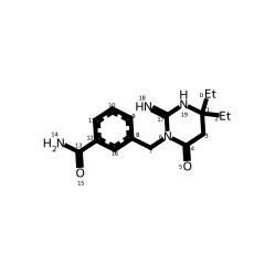 CCC1(CC)CC(=O)N(Cc2cccc(C(N)=O)c2)C(=N)N1